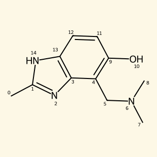 Cc1nc2c(CN(C)C)c(O)ccc2[nH]1